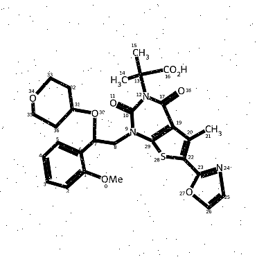 COc1ccccc1C(Cn1c(=O)n(C(C)(C)C(=O)O)c(=O)c2c(C)c(-c3ncco3)sc21)OC1CCOCC1